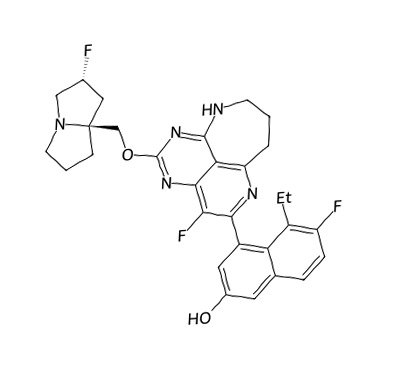 CCc1c(F)ccc2cc(O)cc(-c3nc4c5c(nc(OC[C@@]67CCCN6C[C@H](F)C7)nc5c3F)NCCC4)c12